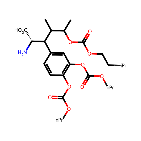 CCCOC(=O)Oc1ccc(C(C(C)C(C)OC(=O)OCCC(C)C)[C@H](N)C(=O)O)cc1OC(=O)OCCC